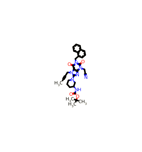 CC#CCn1c(N2CCCC(NC(=O)OC(C)(C)C)C2)nc2c1c(=O)n(Cc1cccc3ccccc13)c(=O)n2CC#N